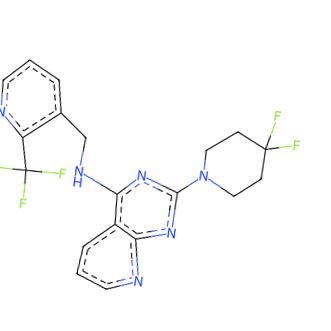 FC1(F)CCN(c2nc(NCc3cccnc3C(F)(F)F)c3cccnc3n2)CC1